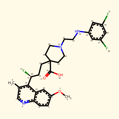 COc1ccc2ncc(C)c([C@@H](F)CCC3(C(=O)O)CCN(CCNc4cc(F)cc(F)c4)CC3)c2c1